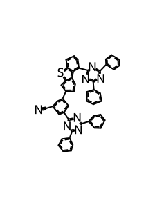 N#Cc1cc(-c2ccc3c(c2)sc2cccc(-c4nc(-c5ccccc5)nc(-c5ccccc5)n4)c23)cc(-c2nc(-c3ccccc3)nc(-c3ccccc3)n2)c1